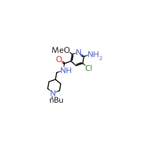 CCCCN1CCC(CNC(=O)c2cc(Cl)c(N)nc2OC)CC1